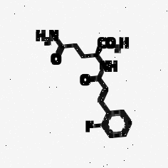 NC(=O)CC[C@H](NC(=O)/C=C/c1ccccc1F)C(=O)O